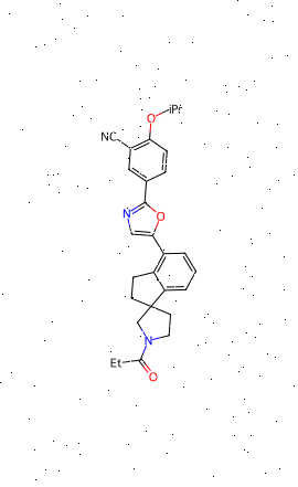 CCC(=O)N1CCC2(CCc3c(-c4cnc(-c5ccc(OC(C)C)c(C#N)c5)o4)cccc32)C1